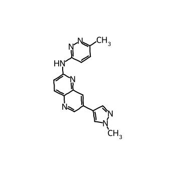 Cc1ccc(Nc2ccc3ncc(-c4cnn(C)c4)cc3n2)nn1